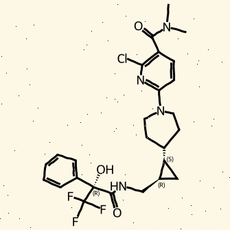 CN(C)C(=O)c1ccc(N2CCC([C@@H]3C[C@H]3CNC(=O)[C@](O)(c3ccccc3)C(F)(F)F)CC2)nc1Cl